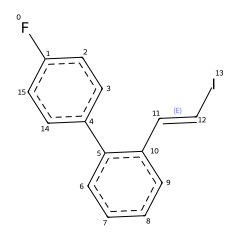 Fc1ccc(-c2ccccc2/C=C/I)cc1